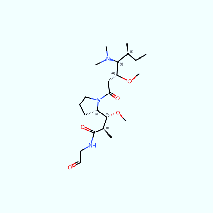 CC[C@H](C)[C@@H]([C@@H](CC(=O)N1CCC[C@H]1[C@H](OC)[C@@H](C)C(=O)NCC=O)OC)N(C)C